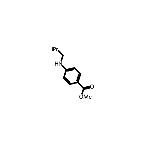 COC(=O)c1ccc(NCC(C)C)cc1